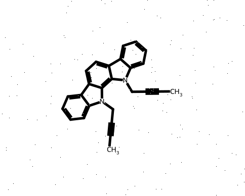 CC#CCn1c2ccccc2c2ccc3c4ccccc4n(CC#CC)c3c21